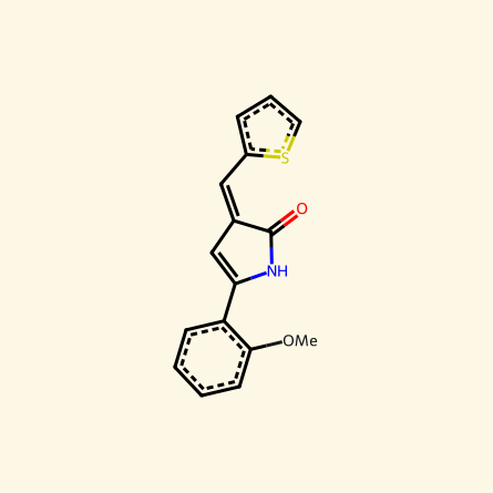 COc1ccccc1C1=CC(=Cc2cccs2)C(=O)N1